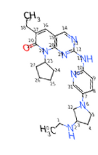 CCNC1CCN(c2ccc(Nc3ncc4cc(CC)c(=O)n(C5CCCC5)c4n3)nc2)C1